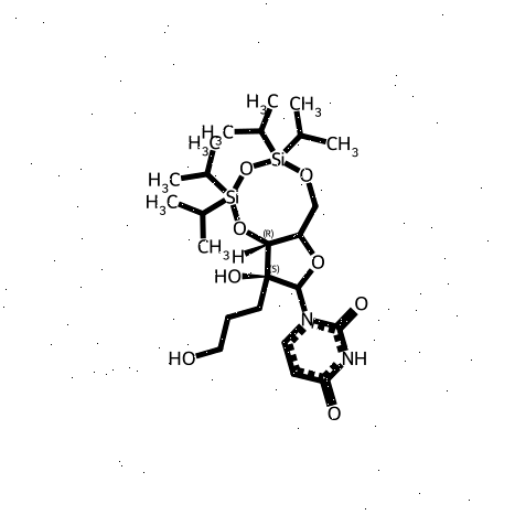 CC(C)[Si]1(C(C)C)OCC2OC(n3ccc(=O)[nH]c3=O)[C@](O)(CCCO)[C@@H]2O[Si](C(C)C)(C(C)C)O1